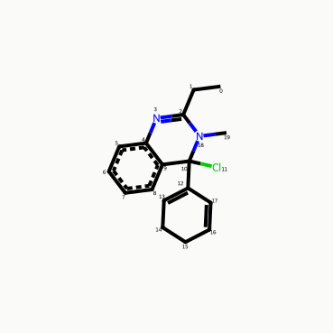 CCC1=Nc2ccccc2C(Cl)(C2=CCCC=C2)N1C